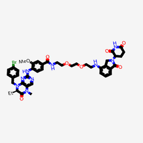 CC[C@@H]1C(=O)N(C)c2cnc(Nc3ccc(C(=O)NCCOCCOCCNc4cccc5c4CN(C4CCC(=O)NC4=O)C5=O)cc3OC)nc2N1Cc1ccc(Br)cc1